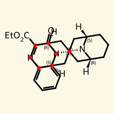 CCOC(=O)c1nc2ccccc2n([C@H]2C[C@H]3CCC[C@@H](C2)N3[C@H]2C[C@@H]3CCC[C@@H](C3)C2)c1=O